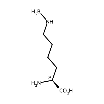 BNCCCC[C@H](N)C(=O)O